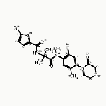 Cc1cc(N(C)C(=O)C(C)(C)NC(=O)c2ccc(Br)s2)c(F)cc1N1CCOCC1=O